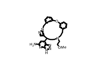 COCCN1CCc2cccc(c2)Oc2cccc(c2)Cn2cc(cn2)C(c2cc(N)nc3[nH]nnc23)CC1